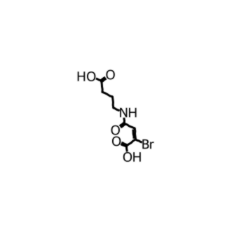 O=C(O)CCCNC(=O)/C=C(/Br)C(=O)O